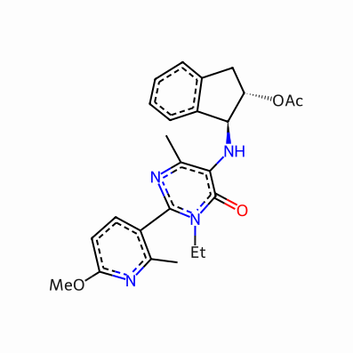 CCn1c(-c2ccc(OC)nc2C)nc(C)c(N[C@H]2c3ccccc3C[C@@H]2OC(C)=O)c1=O